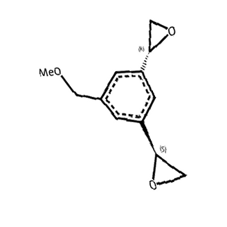 COCc1cc([C@@H]2CO2)cc([C@H]2CO2)c1